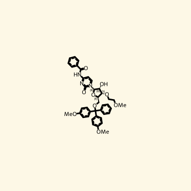 COCCO[C@H]1[C@@H](O)[C@H](n2ccc(NC(=O)c3ccccc3)nc2=O)O[C@@H]1COC(c1ccccc1)(c1ccc(OC)cc1)c1ccc(OC)cc1